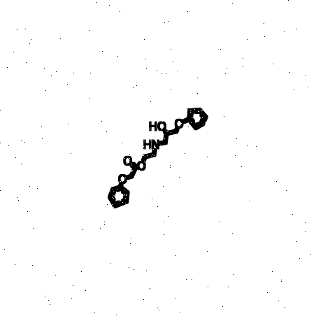 O=C(COc1ccccc1)OCCNCC(O)COc1ccccc1